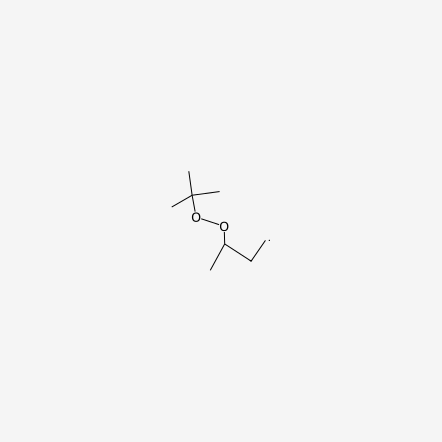 [CH2]CC(C)OOC(C)(C)C